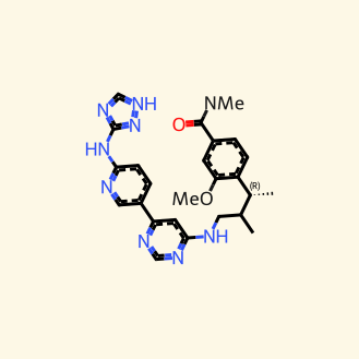 CNC(=O)c1ccc([C@H](C)C(C)CNc2cc(-c3ccc(Nc4nc[nH]n4)nc3)ncn2)c(OC)c1